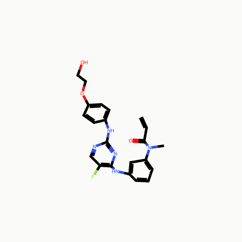 C=CC(=O)N(C)c1cccc(Nc2nc(Nc3ccc(OCCO)cc3)ncc2F)c1